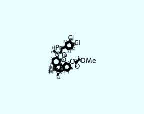 COCC(=O)Oc1ccc2c3c1OC1C(N(CC(C)C)C(=O)Cc4ccc(Cl)c(Cl)c4)CC[C@H]4[C@@H](C2)N(C)CC[C@]314